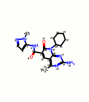 CCn1nccc1NC(=O)c1cc2c(C)nc(N)nc2n(C2CCCCC2)c1=O